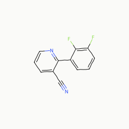 N#Cc1cccnc1-c1cccc(F)c1F